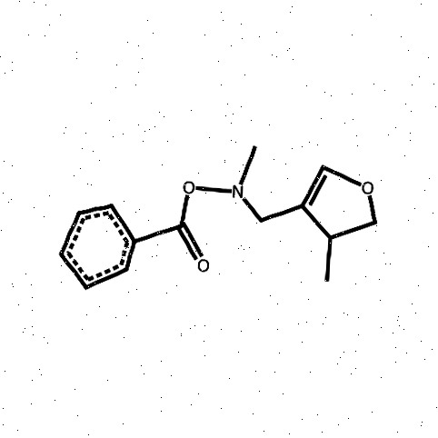 CC1COC=C1CN(C)OC(=O)c1ccccc1